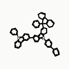 C1=CC2=C(CC1)C(C1=Cc3c(n(-c4ccc(-c5ccccc5)cc4)c4ccc(-c5ccc6c(c5)c5ccccc5n6-c5ccccc5)cc34)CC1)(c1ccccc1)C1=C2C=CCC1